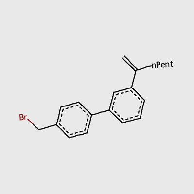 C=C(CCCCC)c1cccc(-c2ccc(CBr)cc2)c1